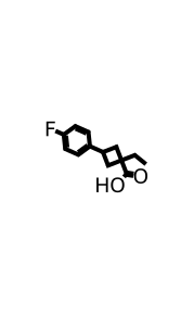 CCC1(C(=O)O)CC(c2ccc(F)cc2)C1